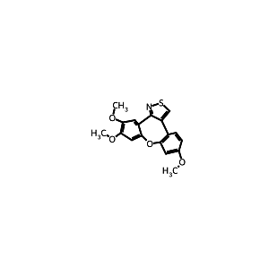 COc1ccc2c(c1)Oc1cc(OC)c(OC)cc1-c1nscc1-2